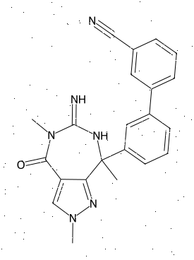 CN1C(=N)NC(C)(c2cccc(-c3cccc(C#N)c3)c2)c2nn(C)cc2C1=O